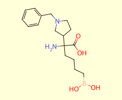 NC(CCCCB(O)O)(C(=O)O)C1CCN(Cc2ccccc2)C1